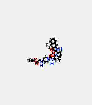 CC(C)[C@H](NC(=O)N1CCC(NCC(=O)OC(C)(C)C)CC1)C(=O)N1CCC[C@H]1C(=O)NC(Cc1ccccc1)C(=O)C(F)(F)F